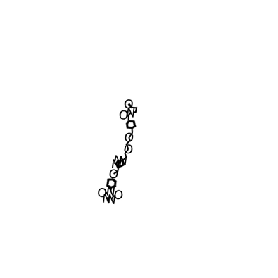 O=C1CCN1C(=O)c1ccc(COCCOCCn2cc(COc3ccc(N4C(=O)N=NC4=O)cc3)nn2)cc1